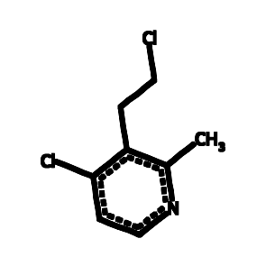 Cc1nccc(Cl)c1CCCl